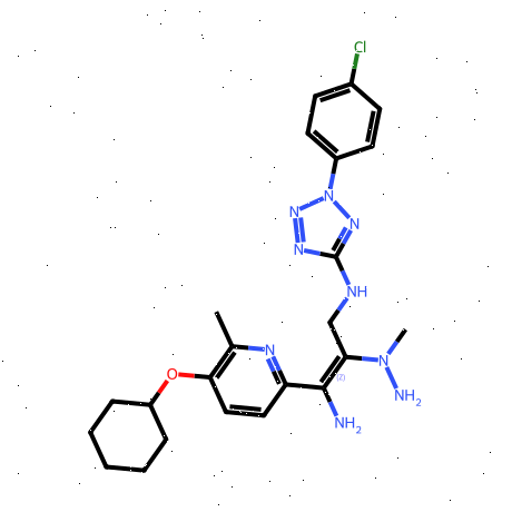 Cc1nc(/C(N)=C(\CNc2nnn(-c3ccc(Cl)cc3)n2)N(C)N)ccc1OC1CCCCC1